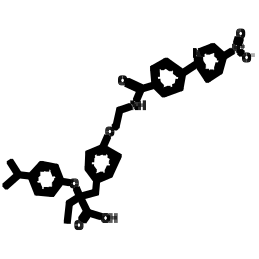 CCC(Cc1ccc(OCCNC(=O)c2ccc(-c3ccc([N+](=O)[O-])cn3)cc2)cc1)(Oc1ccc(C(C)C)cc1)C(=O)O